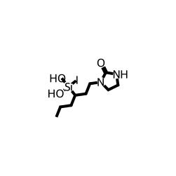 CCCC(CCN1CCNC1=O)[Si](O)(O)I